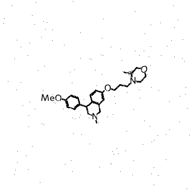 COc1ccc(C2CN(C)Cc3cc(OCCCN4CCOC[C@@H]4C)ccc32)cc1